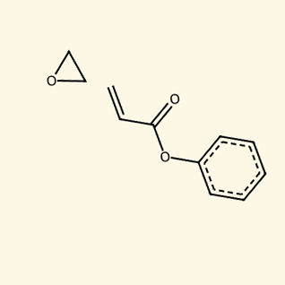 C1CO1.C=CC(=O)Oc1ccccc1